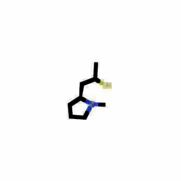 CC(S)C[C@@H]1CCCN1C